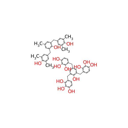 Cc1cc(Cc2cc(C)c(O)c(C)c2)c(O)c(Cc2cc(C)c(O)c(C)c2)c1.Oc1ccc(Cc2cc(Cc3ccc(O)c(O)c3O)c(O)c(Cc3ccc(O)c(O)c3O)c2)c(O)c1O